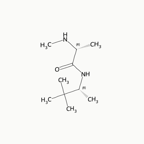 CN[C@H](C)C(=O)N[C@H](C)C(C)(C)C